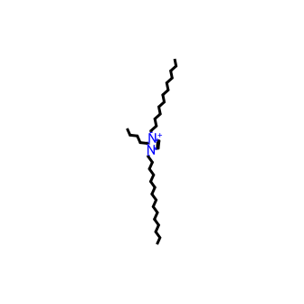 CCCCCCCCCCCCCCCn1cc[n+](CCCCCCCCCCCCC)c1CCCC